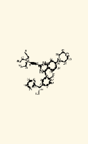 CC[Si](C#Cc1nc(-c2cc([C@H](I)c3nccs3)ccc2F)c2ccc(N3CCOCC3)cc2n1)(CC)CC